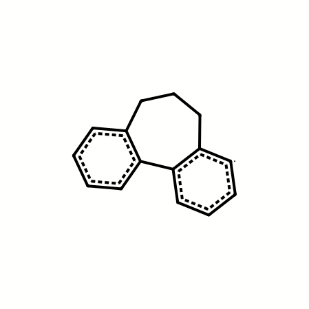 [c]1cccc2c1CCCc1ccccc1-2